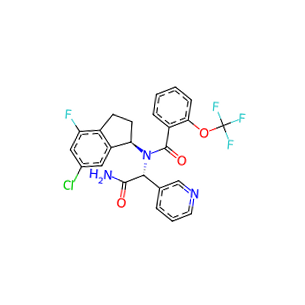 NC(=O)[C@@H](c1cccnc1)N(C(=O)c1ccccc1OC(F)(F)F)[C@@H]1CCc2c(F)cc(Cl)cc21